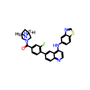 O=C(c1ccc(-c2ccc3nccc(Nc4ccc5scnc5c4)c3c2)c(F)c1)N1C[C@H]2C[C@@H](C1)N2